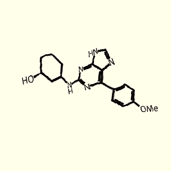 COc1ccc(-c2nc(NC3CCC[C@H](O)C3)nc3[nH]cnc23)cc1